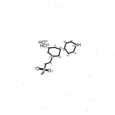 CS(=O)(=O)CCN1CCC[C@H](C2CCNCC2)C1.Cl.Cl